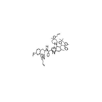 C=CCCOc1cc(F)ccc1CC(C#N)NC(=O)c1cn2c(N3CCC(C)(OCC=C)CC3)c(C(OC(C)(C)C)C(=O)OC)c(C)cc2n1